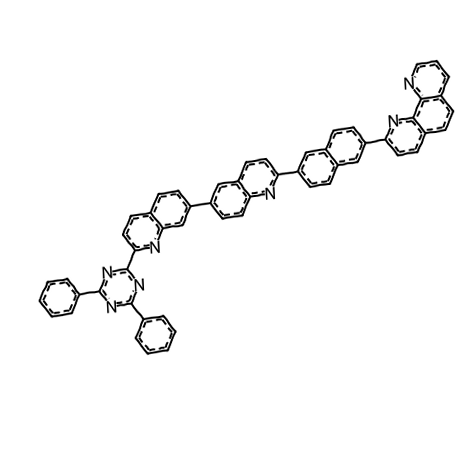 c1ccc(-c2nc(-c3ccccc3)nc(-c3ccc4ccc(-c5ccc6nc(-c7ccc8cc(-c9ccc%10ccc%11cccnc%11c%10n9)ccc8c7)ccc6c5)cc4n3)n2)cc1